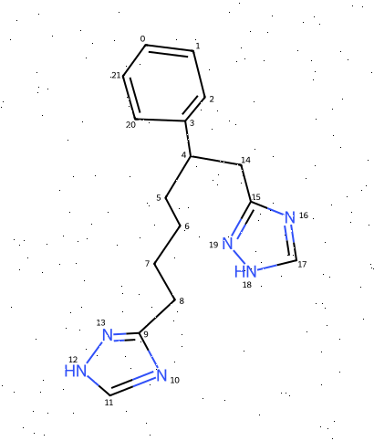 c1ccc(C(CCCCc2nc[nH]n2)Cc2nc[nH]n2)cc1